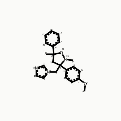 COc1ccc(C2(Cn3ccnc3)CC(C)(c3ccccc3)ON2C)cc1